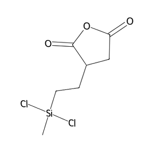 C[Si](Cl)(Cl)CCC1CC(=O)OC1=O